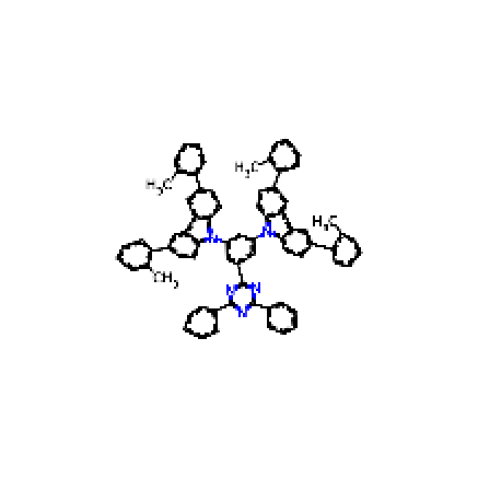 Cc1ccccc1-c1ccc2c(c1)c1cc(-c3ccccc3C)ccc1n2-c1cc(-c2nc(-c3ccccc3)nc(-c3ccccc3)n2)cc(-n2c3ccc(-c4ccccc4C)cc3c3cc(-c4ccccc4C)ccc32)c1